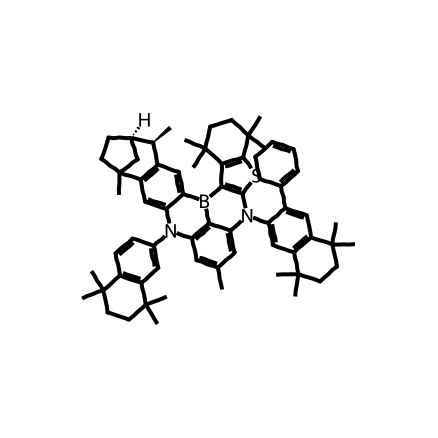 Cc1cc2c3c(c1)N(c1cc4c(cc1C1=CC=CCC1)C(C)(C)CCC4(C)C)c1sc4c(c1B3c1cc3c(cc1N2c1ccc2c(c1)C(C)(C)CCC2(C)C)C1(C)CC[C@H](C1)[C@H]3C)C(C)(C)CCC4(C)C